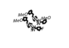 COc1cccc(CCN2CCN(c3nc(-c4ccc(F)cc4)ns3)CC2)c1.COc1cccc(CCN2CCN(c3nc(-c4ccccc4OC)ns3)CC2)c1